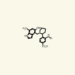 CCNc1cc(C(=O)O)ccc1C1CCCCN1Cc1c(OC)cc(C)c2[nH]ccc12